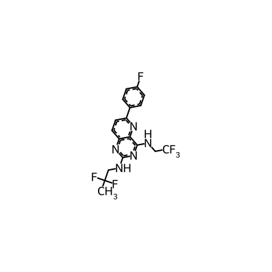 CC(F)(F)CNc1nc(NCC(F)(F)F)c2nc(-c3ccc(F)cc3)ccc2n1